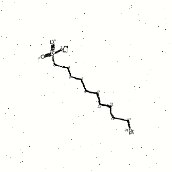 O=S(=O)(Cl)CCCCCCCCCCBr